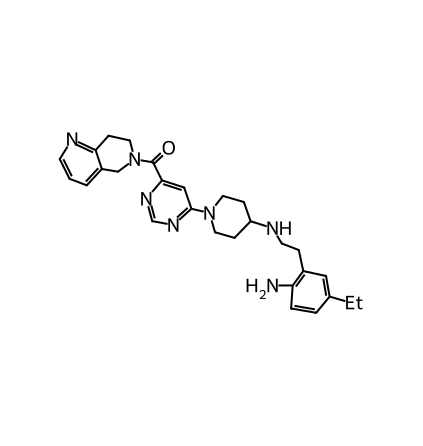 CCc1ccc(N)c(CCNC2CCN(c3cc(C(=O)N4CCc5ncccc5C4)ncn3)CC2)c1